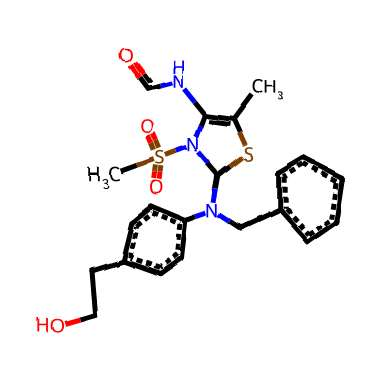 CC1=C(NC=O)N(S(C)(=O)=O)C(N(Cc2ccccc2)c2ccc(CCO)cc2)S1